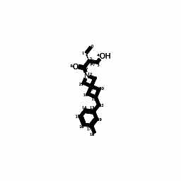 CC[C@H](CO)C(=O)N1CC2(CC(Cc3cccc(C)c3)C2)C1